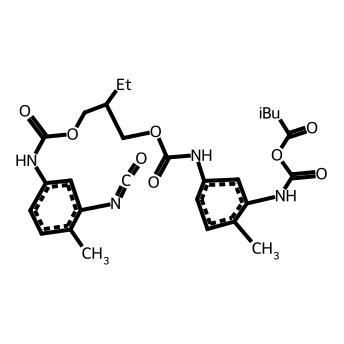 CCC(COC(=O)Nc1ccc(C)c(N=C=O)c1)COC(=O)Nc1ccc(C)c(NC(=O)OC(=O)C(C)CC)c1